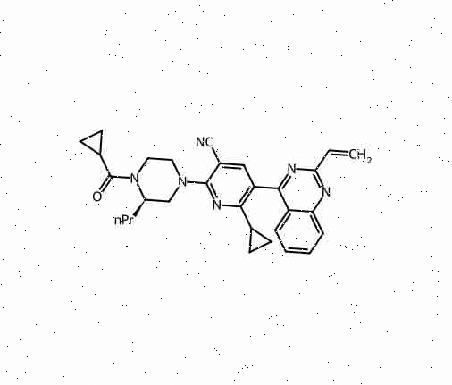 C=Cc1nc(-c2cc(C#N)c(N3CCN(C(=O)C4CC4)[C@H](CCC)C3)nc2C2CC2)c2ccccc2n1